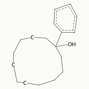 OC1(c2ccccc2)CCCCCCCCCCC1